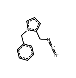 [N-]=[N+]=NCc1cccn1Cc1ccccc1